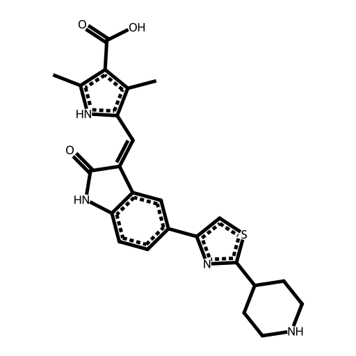 Cc1[nH]c(/C=C2\C(=O)Nc3ccc(-c4csc(C5CCNCC5)n4)cc32)c(C)c1C(=O)O